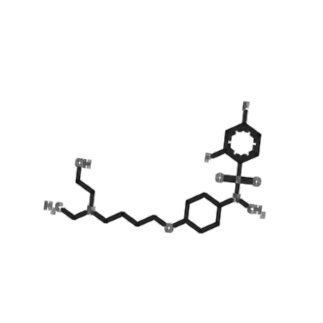 CCN(CCO)CCCCOC1CCC(N(C)S(=O)(=O)c2ccc(F)cc2F)CC1